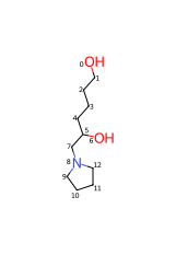 OCCCCC(O)CN1CCCC1